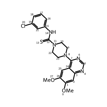 COc1cc2ncnc(N3CCN(C(=S)Nc4cccc(Cl)c4)CC3)c2cc1OC